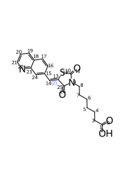 O=C(O)CCCCCCN1C(=O)S/C(=C\c2ccc3cccnc3c2)C1=O